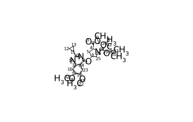 COC(=O)[C@@H]1CC(Oc2nc(C3CC3)nc3cc(OC)c(OC)cc23)CN1C(=O)OC(C)(C)C